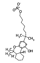 CC(C)(CCCCCCO[N+](=O)[O-])c1cc(O)c2c(c1)OC(C)(C)[C@@H]1CCCC[C@@H]21